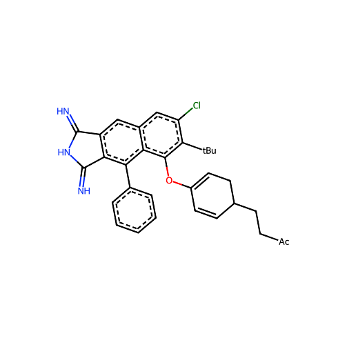 CC(=O)CCC1C=CC(Oc2c(C(C)(C)C)c(Cl)cc3cc4c(c(-c5ccccc5)c23)C(=N)NC4=N)=CC1